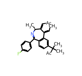 C/C=C1\C(=C/C(C)=O)[C@H](C)N=C(c2ccc(F)cc2)c2ccc(C(C)(C)C(C)=O)cc21